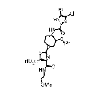 CCc1[nH]c(C(=O)N[C@@H]2CCN(c3nc(C(=O)NCCOC)c(C(=O)O)s3)C[C@@H]2OC(C)C)nc1Cl